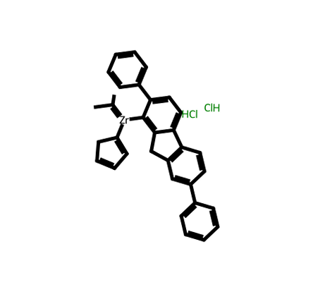 C[C](C)=[Zr]([C]1=CC=CC1)[c]1c(-c2ccccc2)ccc2c1Cc1cc(-c3ccccc3)ccc1-2.Cl.Cl